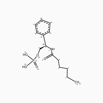 CCCCCC(=O)N[C@@H](COP(=O)(O)O)c1ccccc1